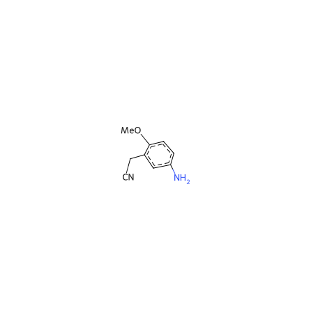 COc1ccc(N)cc1CC#N